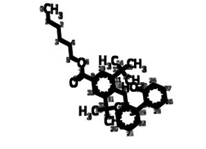 CCCCCCOC(=O)c1cc(C(C)(C)C)c(Cc2ccccc2-c2ccccc2O)c(C(C)(C)C)c1